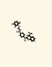 CN(C)c1nc(NC2CCC(NCCOc3c(F)ccc(F)c3F)CC2)nc2ccccc12